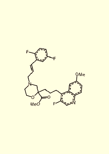 COC(=O)C1(CCCc2c(F)cnc3ccc(OC)cc23)CN(CC=Cc2cc(F)ccc2F)CCO1